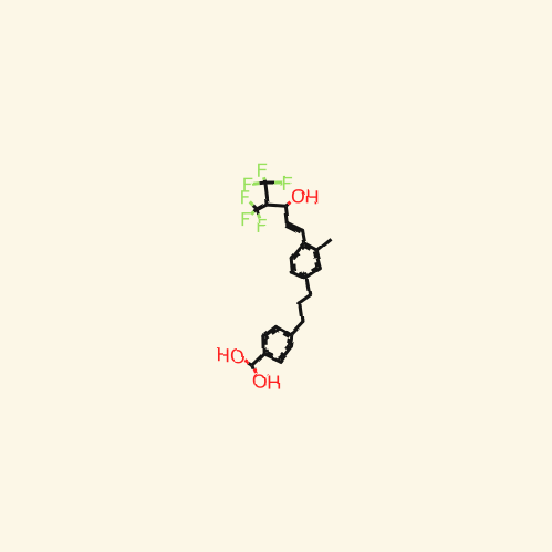 Cc1cc(CCCc2ccc(C(O)O)cc2)ccc1C=CC(O)C(C(F)(F)F)C(F)(F)F